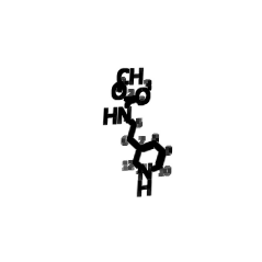 COC(=O)NCCC1=CC=CNC1